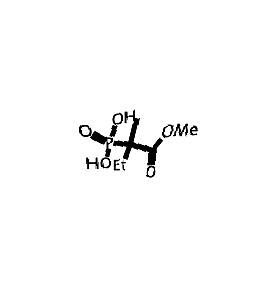 CCC(C)(C(=O)OC)P(=O)(O)O